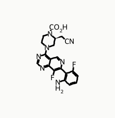 N#CC[C@H]1CN(c2ncnc3c(F)c(-c4c(N)cccc4F)ncc23)CCN1C(=O)O